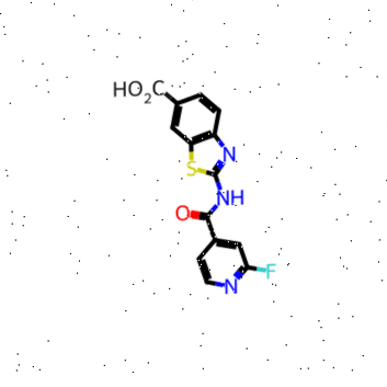 O=C(O)c1ccc2nc(NC(=O)c3ccnc(F)c3)sc2c1